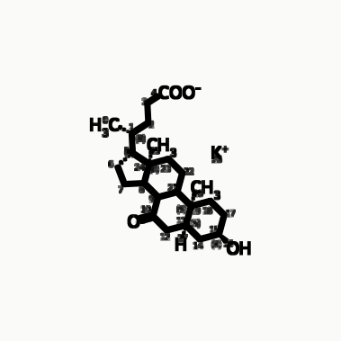 C[C@H](CCC(=O)[O-])[C@H]1CCC2C3C(=O)C[C@@H]4C[C@H](O)CC[C@]4(C)C3CC[C@@]21C.[K+]